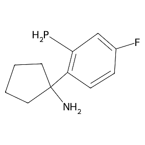 NC1(c2ccc(F)cc2P)CCCC1